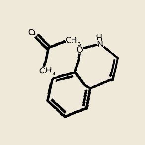 C1=Cc2ccccc2ON1.CC(C)=O